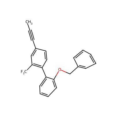 CC#Cc1ccc(-c2ccccc2OCc2ccccc2)c(C(F)(F)F)c1